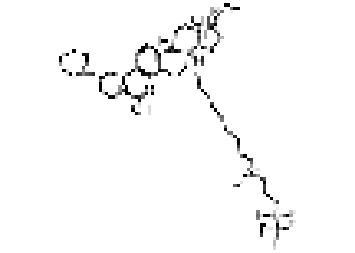 C[C@]12CC[C@@H]3c4ccc(C5CC(N6CCCCC6)CCN5C(=O)O)cc4C[C@@H](CCCCCCCCC[S+]([O-])CCCC(F)(F)C(F)(F)F)[C@H]3[C@@H]1CCC2=NO